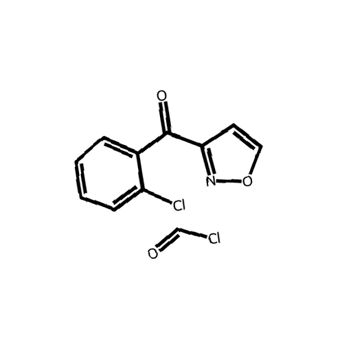 O=C(c1ccon1)c1ccccc1Cl.O=CCl